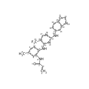 C=CC(=O)Nc1cc(C)ccc1Nc1nc(Nc2ccc3ocnc3c2)ncc1C(F)(F)F